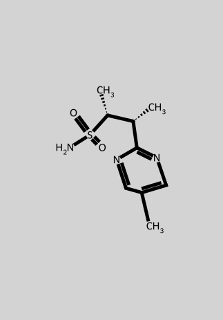 Cc1cnc([C@@H](C)[C@@H](C)S(N)(=O)=O)nc1